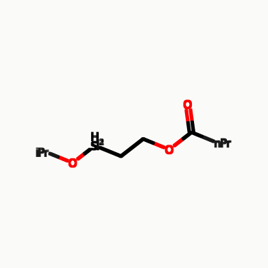 CCCC(=O)OCC[SiH2]OC(C)C